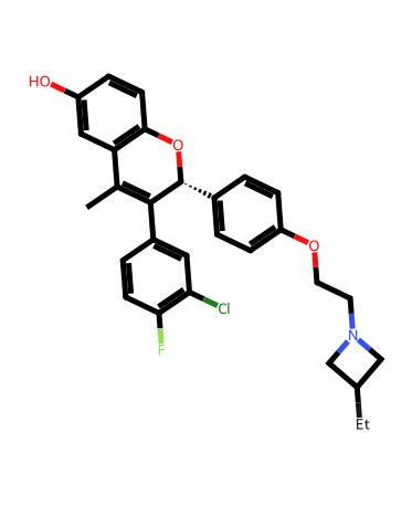 CCC1CN(CCOc2ccc([C@H]3Oc4ccc(O)cc4C(C)=C3c3ccc(F)c(Cl)c3)cc2)C1